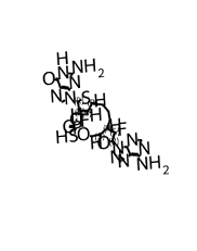 Nc1nc2c(ncn2[C@@H]2S[C@@H]3CCC[C@H]4[C@H](F)[C@H](n5nnc6c(N)ncnc65)O[C@@H]4COP(=O)(S)O[C@@H]2[C@@H]3F)c(=O)[nH]1